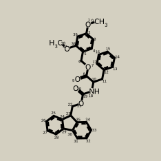 COc1ccc(COC(=O)C(Cc2ccccc2)NC(=O)OCC2c3ccccc3-c3ccccc32)c(OC)c1